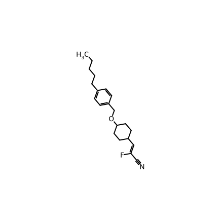 CCCCCc1ccc(COC2CCC(C=C(F)C#N)CC2)cc1